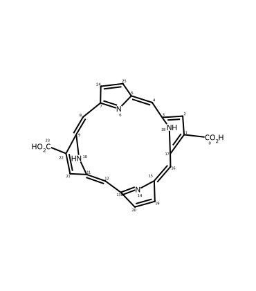 O=C(O)c1cc2cc3nc(cc4[nH]c(cc5nc(cc1[nH]2)C=C5)cc4C(=O)O)C=C3